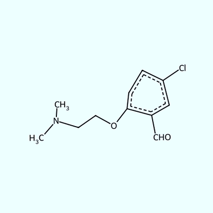 CN(C)CCOc1ccc(Cl)cc1C=O